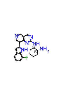 N[C@@H]1CCCC[C@@H]1Nc1ncc2cncc(-c3cc4cccc(F)c4[nH]3)c2n1